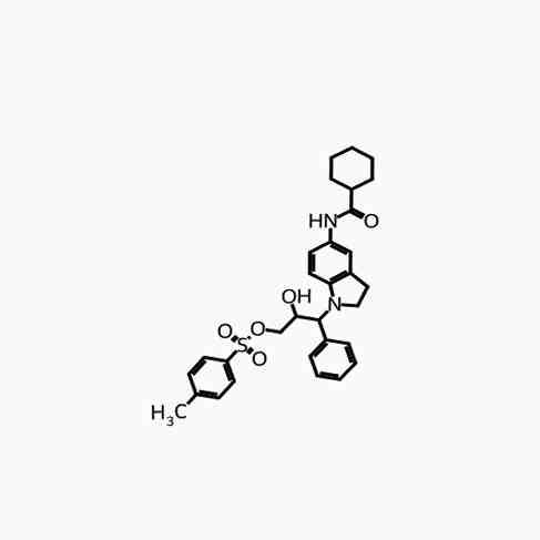 Cc1ccc(S(=O)(=O)OCC(O)C(c2ccccc2)N2CCc3cc(NC(=O)C4CCCCC4)ccc32)cc1